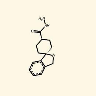 NNC(=O)[C@H]1CC[C@]2(CC1)OCc1ccccc12